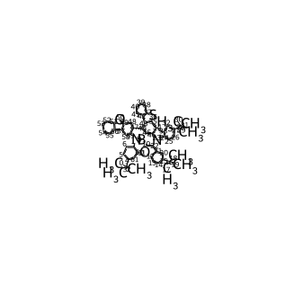 CC(C)(C)c1ccc(N2B3c4oc5ccc(C(C)(C)C)cc5c4-n4c5ccc(C(C)(C)C)cc5c5c6sc7ccccc7c6c(c3c54)-c3cc4oc5ccccc5c4cc32)cc1